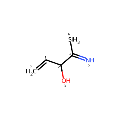 C=CC(O)C(=N)[SiH3]